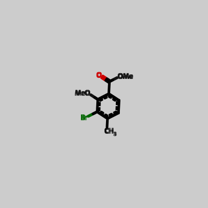 COC(=O)c1ccc(C)c(Br)c1OC